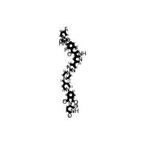 O=C1CCC(N2C(=O)c3ccc(N4CCC(CN5CCN(c6ncc(-c7cnc8[nH]cc(C(=O)c9c(F)ccc(NS(=O)(=O)N%10CC[C@@H](F)C%10)c9F)c8c7)cn6)CC5)CC4)cc3C2=O)C(=O)N1